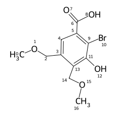 COCc1cc(C(=O)O)c(Br)c(O)c1COC